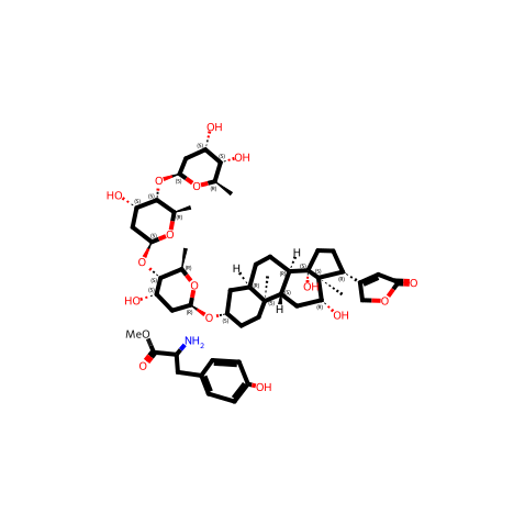 COC(=O)C(N)Cc1ccc(O)cc1.C[C@H]1O[C@@H](O[C@H]2[C@@H](O)C[C@H](O[C@H]3[C@@H](O)C[C@H](O[C@H]4CC[C@@]5(C)[C@H](CC[C@@H]6[C@@H]5C[C@@H](O)[C@]5(C)[C@@H](C7=CC(=O)OC7)CC[C@]65O)C4)O[C@@H]3C)O[C@@H]2C)C[C@H](O)[C@@H]1O